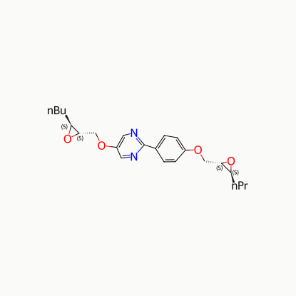 CCCC[C@@H]1O[C@H]1COc1cnc(-c2ccc(OC[C@@H]3O[C@H]3CCC)cc2)nc1